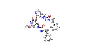 O=C(NCc1ccnc(O)c1)N[C@@H]1C[C@H]1c1ccccc1.O=C(NCc1ccnc(OCF)c1)N[C@@H]1C[C@H]1c1ccccc1